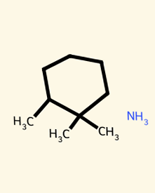 CC1CCCCC1(C)C.N